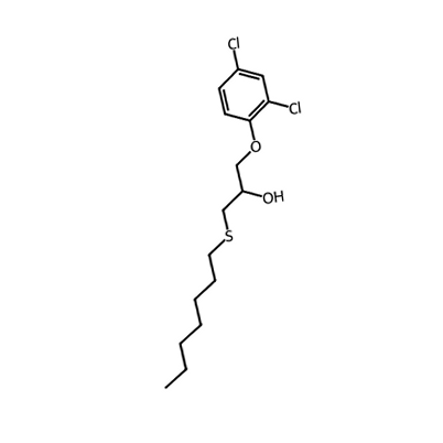 CCCCCCCSCC(O)COc1ccc(Cl)cc1Cl